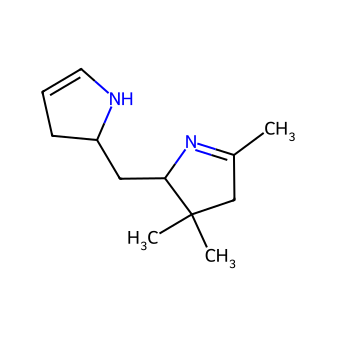 CC1=NC(CC2CC=CN2)C(C)(C)C1